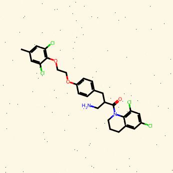 Cc1cc(Cl)c(OCCOc2ccc(CC(CN)C(=O)N3CCCc4cc(Cl)cc(Cl)c43)cc2)c(Cl)c1